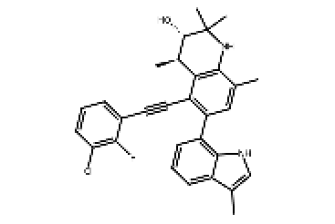 Cc1cc(-c2cccc3c(C)c[nH]c23)c(C#Cc2cccc(Cl)c2F)c2c1NC(C)(C)[C@@H](O)[C@@H]2C